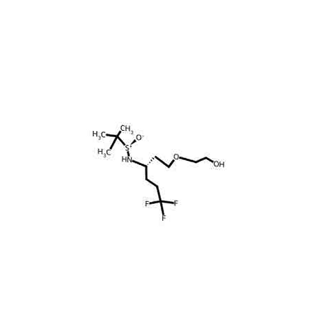 CC(C)(C)[S@@+]([O-])N[C@H](CCOCCO)CCC(F)(F)F